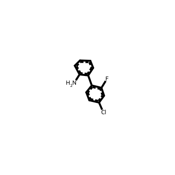 Nc1ccccc1-c1ccc(Cl)cc1F